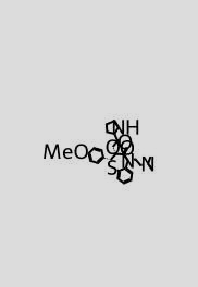 COc1ccc([C@H]2Sc3ccccc3N(CCN(C)C)C(=O)[C@H]2OC(=O)C2CCCN2)cc1